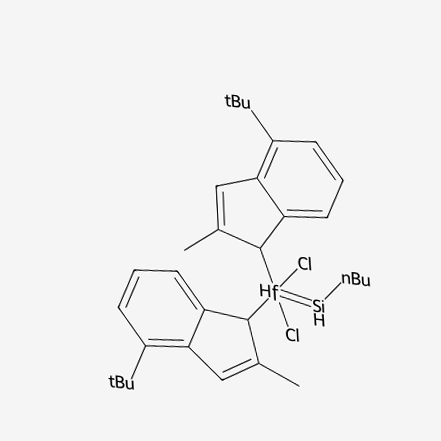 CCCC[SiH]=[Hf]([Cl])([Cl])([CH]1C(C)=Cc2c1cccc2C(C)(C)C)[CH]1C(C)=Cc2c1cccc2C(C)(C)C